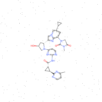 Cc1ccnc([C@H]2C[C@@H]2C(=O)Nc2nccc(N3C[C@@H](O)C[C@@H]3c3cn4cc(C5CC5)cc(N5CC(=O)N(C)C5=O)c4n3)n2)n1